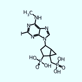 CNc1nc(I)nc2c1ncn2C1CC(P(=O)(O)O)C2(CP(=O)(O)O)CC12